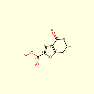 COC(=O)c1cc2c(o1)CCCC2=O